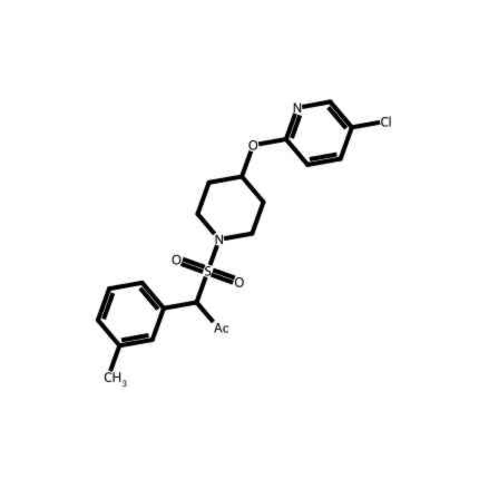 CC(=O)C(c1cccc(C)c1)S(=O)(=O)N1CCC(Oc2ccc(Cl)cn2)CC1